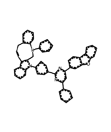 C1=C\c2c(n(-c3ccc(-c4nc(-c5ccccc5)cc(-c5ccc6c(c5)oc5ccccc56)n4)cc3)c3ccccc23)CN(c2ccccc2)c2ccccc2C/1